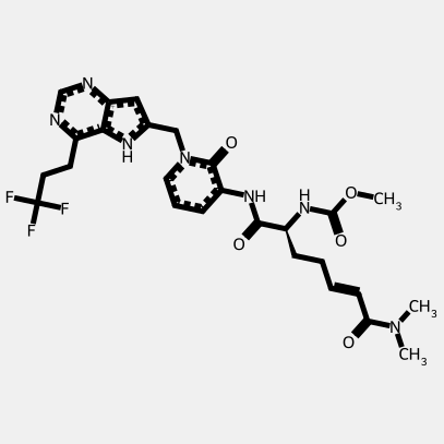 COC(=O)N[C@@H](CC/C=C/C(=O)N(C)C)C(=O)Nc1cccn(Cc2cc3ncnc(CCC(F)(F)F)c3[nH]2)c1=O